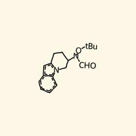 CC(C)(C)ON(C=O)C1CCc2cc3ccccc3n2C1